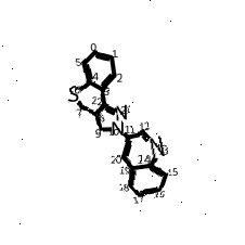 c1ccc2c(c1)SCC1CN(c3cnc4ccccc4c3)N=C21